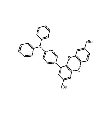 CC(C)(C)c1ccc2c(c1)Sc1c(cc(C(C)(C)C)cc1-c1ccc(N(c3ccccc3)c3ccccc3)cc1)S2